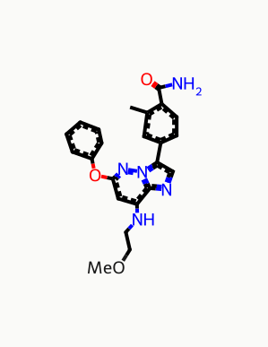 COCCNc1cc(Oc2ccccc2)nn2c(-c3ccc(C(N)=O)c(C)c3)cnc12